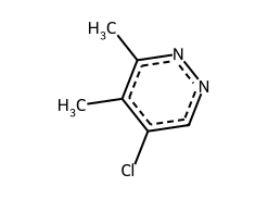 Cc1nncc(Cl)c1C